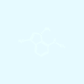 CNc1cccc2c(C)cn(C)c12